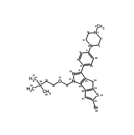 CN1CCN(c2ccc(-c3nn(COCC[Si](C)(C)C)c4c3Cc3sc(Br)cc3-4)cc2)CC1